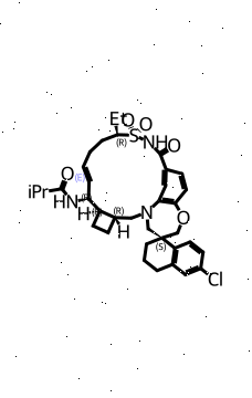 CC[C@@H]1CC/C=C/[C@H](NC(=O)C(C)C)[C@@H]2CC[C@H]2CN2C[C@@]3(CCCc4cc(Cl)ccc43)COc3ccc(cc32)C(=O)NS1(=O)=O